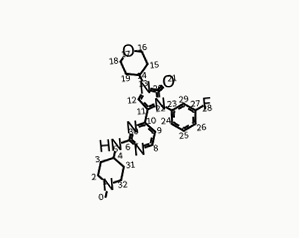 CN1CCC(Nc2nccc(-c3cn(C4CCOCC4)c(=O)n3-c3cccc(F)c3)n2)CC1